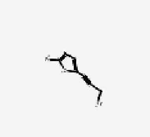 CC(C)CC#Cc1ccc(C(C)C)o1